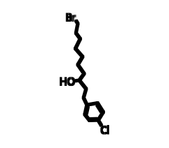 OC(CCCCCCCBr)CCc1ccc(Cl)cc1